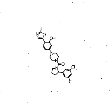 COc1cc(N2CCN(C(=O)N3CCCC3c3cc(Cl)cc(Cl)c3)CC2)ccc1-c1cnc(C)o1